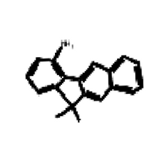 CC1(C)c2cc3ccccc3cc2-c2c(N)cccc21